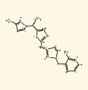 Cc1ccn(C(C)c2nnc(Nc3ccn(Cc4cccnc4F)n3)s2)n1